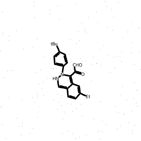 CCc1ccc2c(c1)=C(C(=O)C=O)N(c1ccc(C(C)(C)C)cc1)NC=2